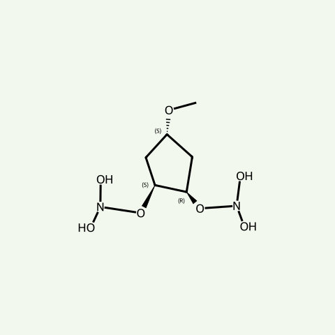 CO[C@H]1C[C@H](ON(O)O)[C@H](ON(O)O)C1